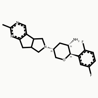 Cc1ncc2c(n1)CC1CN([C@H]3CO[C@H](c4cc(F)ccc4F)[C@@H](N)C3)CC21